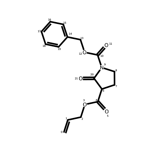 C=CCOC(=O)C1CCN(C(=O)OCc2ccccc2)C1=O